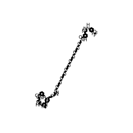 Cc1nc(Nc2ncc(C(=O)Nc3c(C)cccc3Cl)s2)cc(N2CCN(CCOCc3cn(CCOCCOCCOCCOCCOCCOCCOCCOCCOCCOCCOCCNC(=O)c4cccc(-c5cc(Nc6ccc(OC(F)(F)F)cc6)ncn5)c4)nn3)CC2)n1